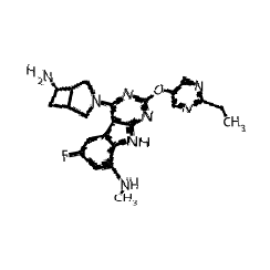 CCc1ncc(Oc2nc(N3CC4C[C@@H](N)C4C3)c3c(n2)[nH]c2c(NC)cc(F)cc23)cn1